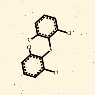 Clc1cccc(Cl)c1Sc1c(Cl)cccc1Cl